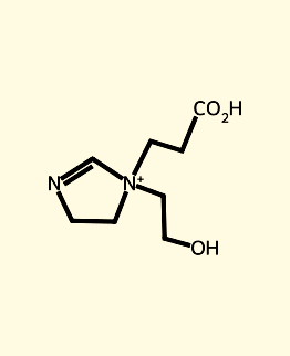 O=C(O)CC[N+]1(CCO)C=NCC1